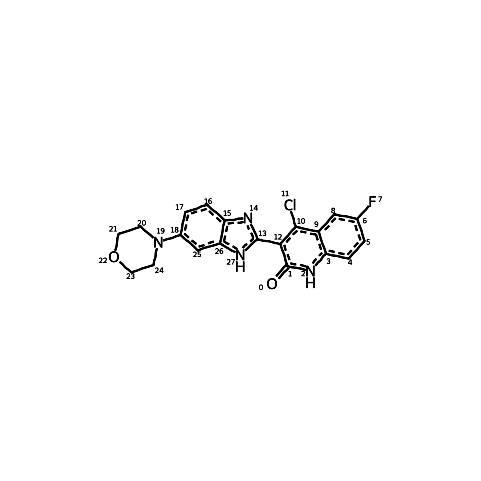 O=c1[nH]c2ccc(F)cc2c(Cl)c1-c1nc2ccc(N3CCOCC3)cc2[nH]1